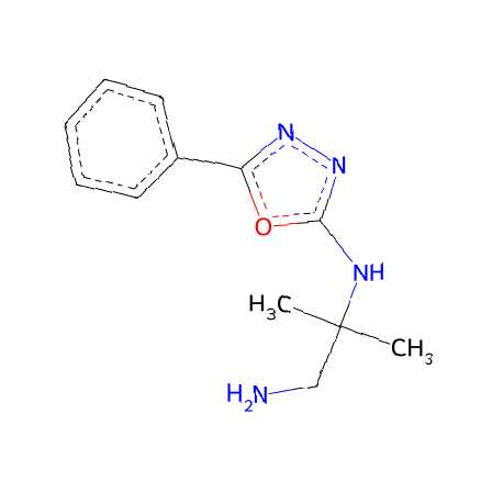 CC(C)(CN)Nc1nnc(-c2ccccc2)o1